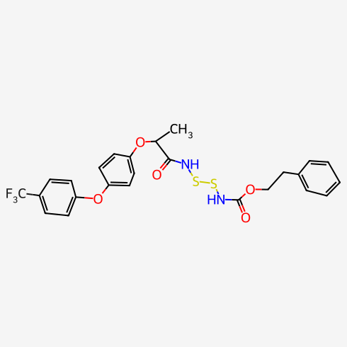 CC(Oc1ccc(Oc2ccc(C(F)(F)F)cc2)cc1)C(=O)NSSNC(=O)OCCc1ccccc1